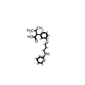 CC(C)C(C(=O)O)c1cccc(OCCCNc2ccccn2)c1